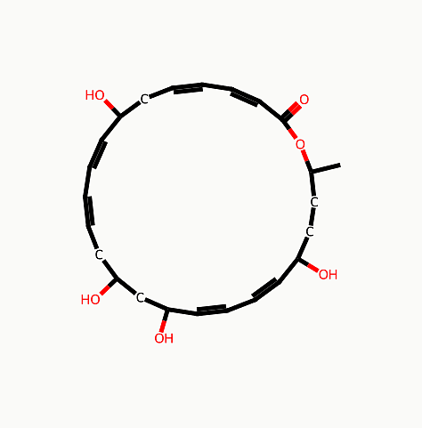 CC1CCC(O)C=CC=CC(O)CC(O)CC=CC=CC(O)CC=CC=CC(=O)O1